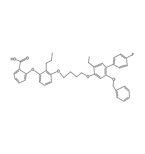 CCCc1c(OCCCCOc2cc(OCc3ccccc3)c(-c3ccc(F)cc3)cc2CC)cccc1Oc1ccccc1C(=O)O